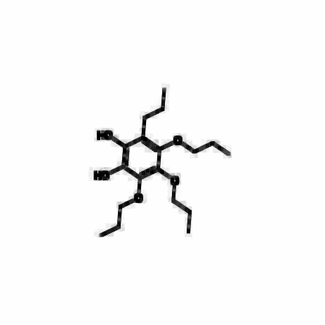 CCCOc1c(O)c(O)c(CCC)c(OCCC)c1OCCC